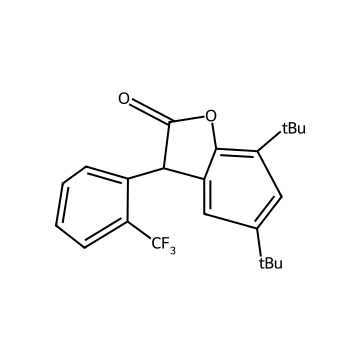 CC(C)(C)c1cc2c(c(C(C)(C)C)c1)OC(=O)C2c1ccccc1C(F)(F)F